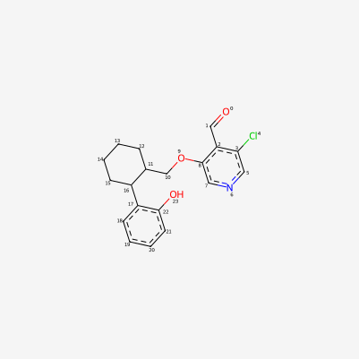 O=Cc1c(Cl)cncc1OCC1CCCCC1c1ccccc1O